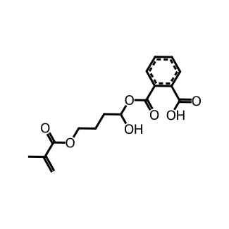 C=C(C)C(=O)OCCCC(O)OC(=O)c1ccccc1C(=O)O